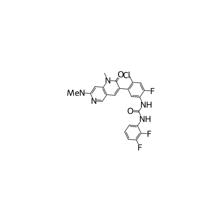 CNc1cc2c(cn1)cc(-c1cc(NC(=O)Nc3cccc(F)c3F)c(F)cc1Cl)c(=O)n2C